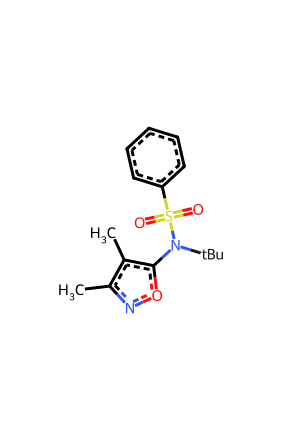 Cc1noc(N(C(C)(C)C)S(=O)(=O)c2ccccc2)c1C